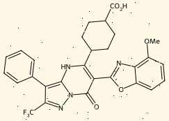 COc1cccc2oc(-c3c(C4CCC(C(=O)O)CC4)[nH]c4c(-c5ccccc5)c(C(F)(F)F)nn4c3=O)nc12